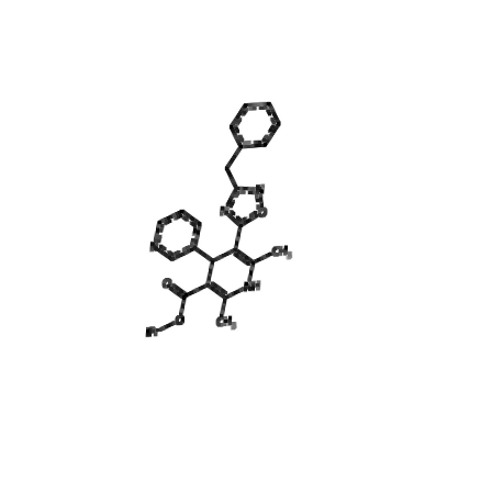 CC1=C(C(=O)OC(C)C)C(c2cccnc2)C(c2nc(Cc3ccccc3)no2)=C(C)N1